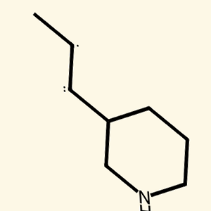 C[CH][C]C1CCCNC1